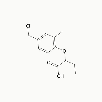 CCC(Oc1ccc(CCl)cc1C)C(=O)O